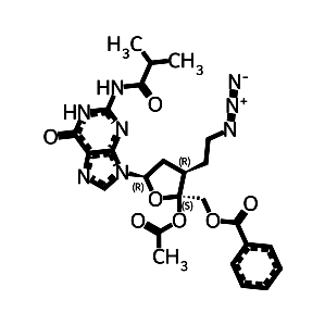 CC(=O)O[C@@]1(COC(=O)c2ccccc2)O[C@@H](n2cnc3c(=O)[nH]c(NC(=O)C(C)C)nc32)C[C@H]1CCN=[N+]=[N-]